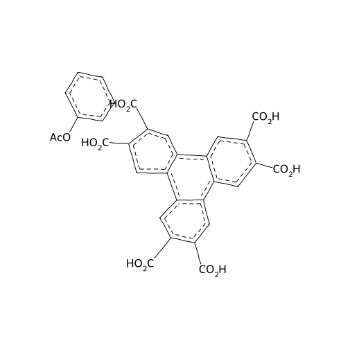 CC(=O)Oc1ccccc1.O=C(O)c1cc2c3cc(C(=O)O)c(C(=O)O)cc3c3cc(C(=O)O)c(C(=O)O)cc3c2cc1C(=O)O